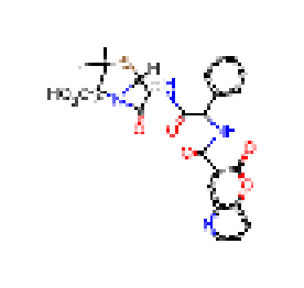 CC1(C)S[C@@H]2[C@H](NC(=O)C(NC(=O)c3cc4ncccc4oc3=O)c3ccccc3)C(=O)N2[C@H]1C(=O)O